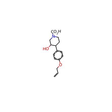 C=CCOc1ccc(C2CCN(C(=O)O)CC2O)cc1